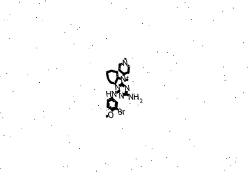 COc1ccc(Nc2nc(N)nc([N+](C)(C3CCCCCC3)C3CCN(C)CC3)n2)cc1Br